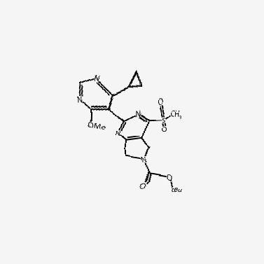 COc1ncnc(C2CC2)c1-c1nc2c(c(S(C)(=O)=O)n1)CN(C(=O)OC(C)(C)C)C2